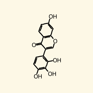 O=c1c(-c2ccc(O)c(O)c2O)coc2cc(O)ccc12